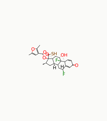 Cc1cc(C(=O)O[C@]2(C(=O)S)[C@H](C)C[C@H]3[C@@H]4C[C@H](F)C5=CC(=O)C=C[C@]5(C)[C@@]4(F)[C@@H](O)C[C@@]32C)c(C)o1